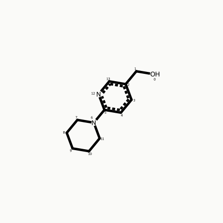 OCc1ccc(N2CCCCC2)nc1